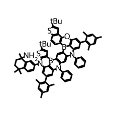 Cc1cc(C)c(-c2cc3c4c(c2)N(c2ccccc2)c2cc5c(cc2B4c2ccc4sc(C(C)(C)C)cc4c2O3)B2c3cc(C(C)(C)C)sc3N(c3ccc4c(c3)C(C)(N)CCC4(C)C)c3cc(-c4c(C)cc(C)cc4C)cc(c32)N5c2ccccc2)c(C)c1